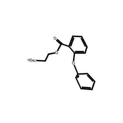 CCCCCCCCCCCCOC(=O)c1ccccc1Oc1ccccc1